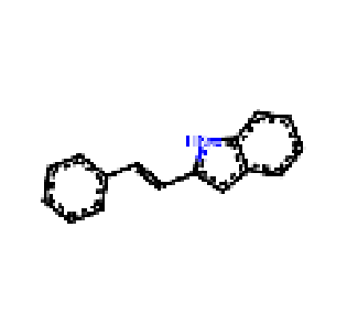 C(=Cc1cc2ccccc2[nH]1)c1ccccc1